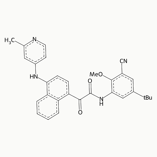 COc1c(C#N)cc(C(C)(C)C)cc1NC(=O)C(=O)c1ccc(Nc2ccnc(C)c2)c2ccccc12